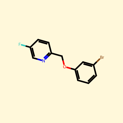 Fc1ccc(COc2cccc(Br)c2)nc1